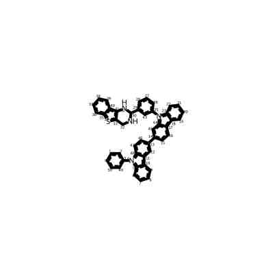 c1ccc(-n2c3ccccc3c3cc(-c4ccc5c6ccccc6n(-c6cccc(C7NCc8sc9ccccc9c8N7)c6)c5c4)ccc32)cc1